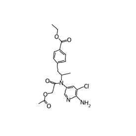 CCOC(=O)c1ccc(CC(C)N(C(=O)COC(C)=O)c2cnc(N)c(Cl)c2)cc1